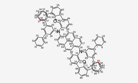 c1ccc(-c2cc(-c3ccccc3)cc(N(c3ccc4ccc5c(N(c6cc(-c7ccccc7)cc(-c7ccccc7)c6)c6cccc7c6oc6c(C8CCCCC8)cccc67)ccc6ccc3c4c65)c3cccc4c3oc3c(C5CCCCC5)cccc34)c2)cc1